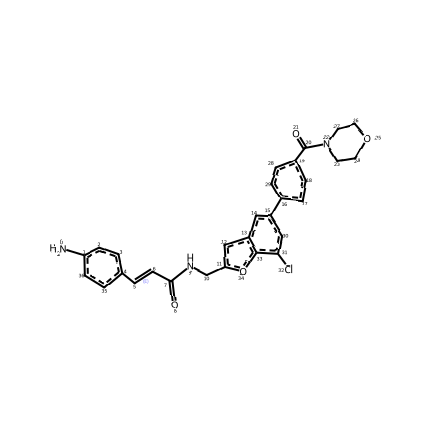 Nc1ccc(/C=C/C(=O)NCc2cc3cc(-c4ccc(C(=O)N5CCOCC5)cc4)cc(Cl)c3o2)cc1